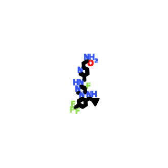 NC(=O)Cc1ccc(CNc2ncnc(NC(c3ccc(C(F)(F)F)cc3)C3CC3)c2F)cn1